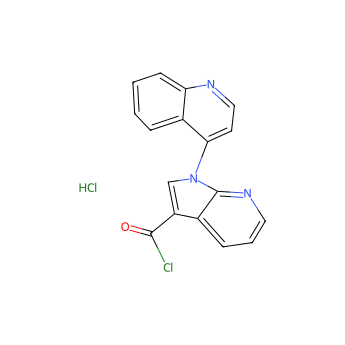 Cl.O=C(Cl)c1cn(-c2ccnc3ccccc23)c2ncccc12